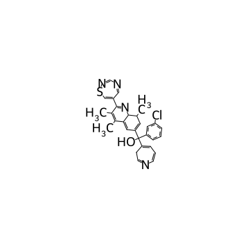 CC1=C(C)C(C2=CSN=CN=C2)=NC2C1=CC(C(O)(C1=CC=CN=CC1)c1cccc(Cl)c1)=CC2C